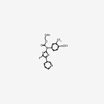 CCCCCCCCc1ccc(N(C(=O)OCOC(C)=O)c2nc(-c3cccnc3)c(F)s2)cc1C(F)(F)F